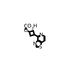 O=C(O)OC1CC(c2nccc3scnc23)C1